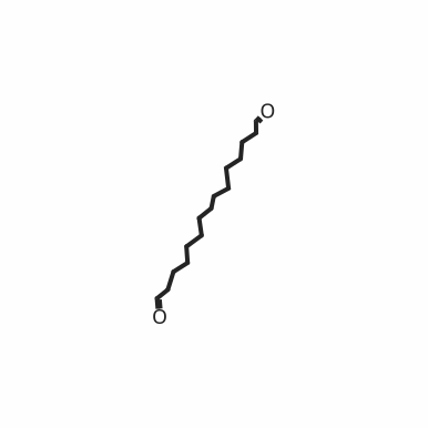 O=CCCCCCCCCCCCCCC=O